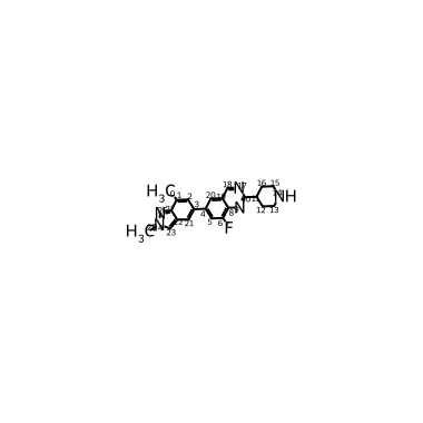 Cc1cc(-c2cc(F)c3nc(C4CCNCC4)ncc3c2)cc2cn(C)nc12